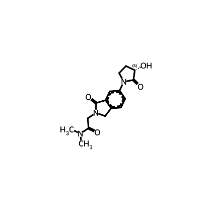 CN(C)C(=O)CN1Cc2ccc(N3CC[C@H](O)C3=O)cc2C1=O